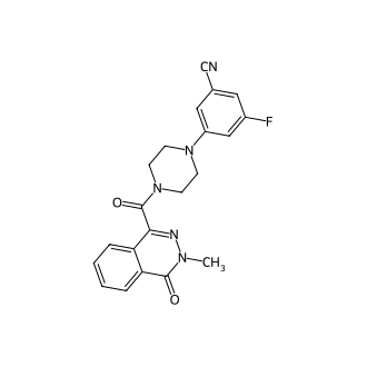 Cn1nc(C(=O)N2CCN(c3cc(F)cc(C#N)c3)CC2)c2ccccc2c1=O